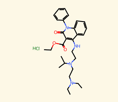 CCOC(=O)c1c(NCCN(CCN(CC)CC)C(C)C)c2ccccc2n(-c2ccccc2)c1=O.Cl